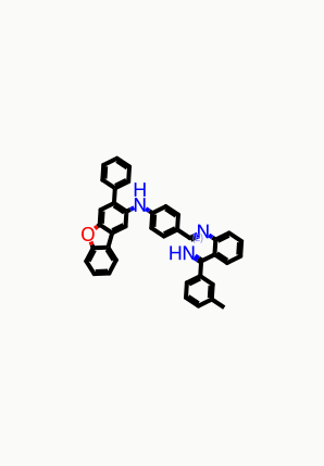 Cc1cccc(C(=N)c2ccccc2/N=C/c2ccc(Nc3cc4c(cc3-c3ccccc3)oc3ccccc34)cc2)c1